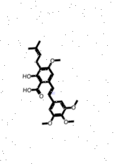 COc1cc(/C=C/c2cc(OC)c(OC)c(OC)c2)c(C(=O)O)c(O)c1CC=C(C)C